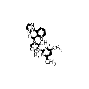 CCN(C(=O)c1ncccc1-n1nccn1)C(C)N(C)c1nc(C)cc(C)n1